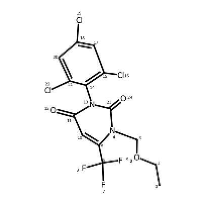 CCOCn1c(C(F)(F)F)cc(=O)n(-c2c(Cl)cc(Cl)cc2Cl)c1=O